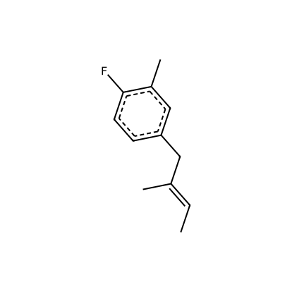 C/C=C(\C)Cc1ccc(F)c(C)c1